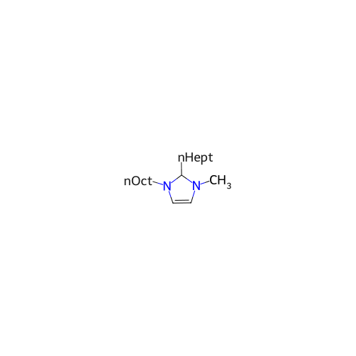 CCCCCCCCN1C=CN(C)C1CCCCCCC